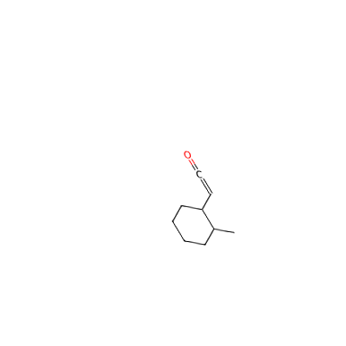 CC1CCCCC1C=C=O